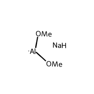 C[O][Al][O]C.[NaH]